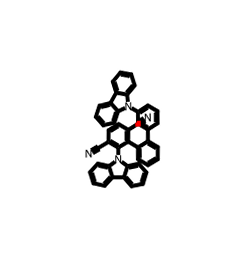 N#Cc1ccc(C#N)c(-n2c3ccccc3c3ccccc32)c1-c1ccccc1-c1cccc(-n2c3ccccc3c3ccccc32)c1